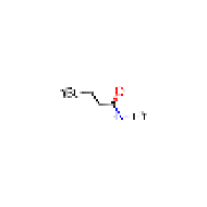 CCCCCCC(=O)[N]C(C)C